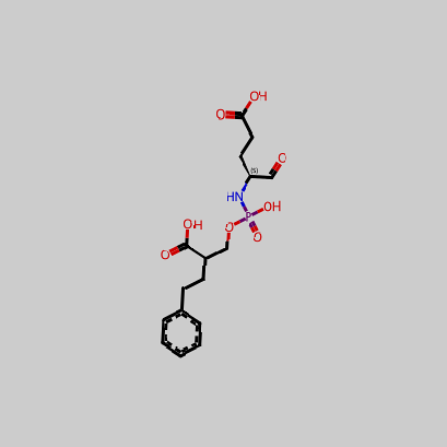 O=C[C@H](CCC(=O)O)NP(=O)(O)OCC(CCc1ccccc1)C(=O)O